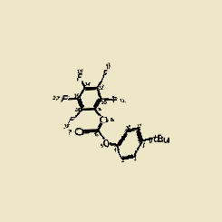 CC(C)(C)c1ccc(OC(=O)Oc2c(F)c(F)c(F)c(F)c2F)cc1